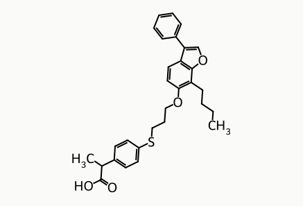 CCCCc1c(OCCCSc2ccc(C(C)C(=O)O)cc2)ccc2c(-c3ccccc3)coc12